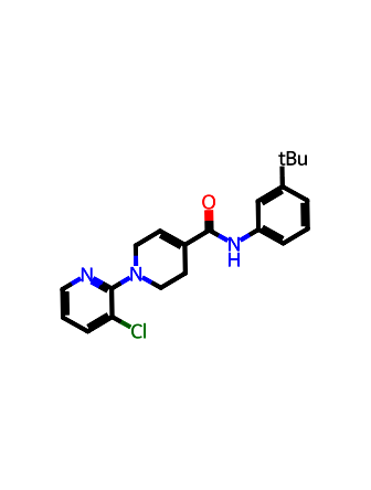 CC(C)(C)c1cccc(NC(=O)C2=CCN(c3ncccc3Cl)CC2)c1